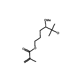 C=C(C)C(=O)OCCCC(OC)C(C)(C)[O]